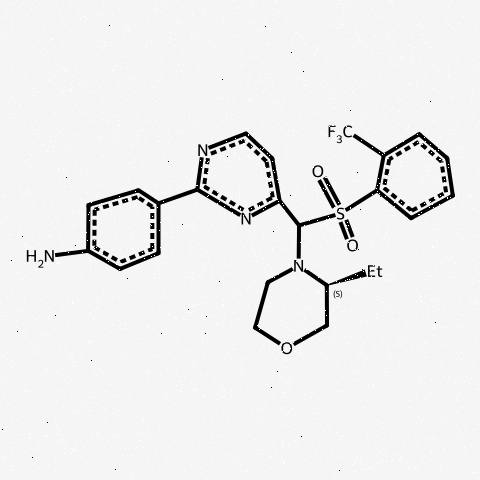 CC[C@H]1COCCN1C(c1ccnc(-c2ccc(N)cc2)n1)S(=O)(=O)c1ccccc1C(F)(F)F